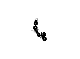 Cc1nc(N2CC[C@H](CC(=O)Nc3ccc(-c4ccc(Cl)cc4)cc3)C2)c2oc3ccccc3c2n1